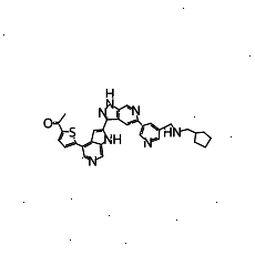 CC(=O)c1ccc(-c2cncc3[nH]c(-c4n[nH]c5cnc(-c6cncc(CNCC7CCCC7)c6)cc45)cc23)s1